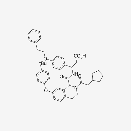 CC(C)(C)c1ccc(Oc2ccc3c(c2)C(C(=O)NC(CC(=O)O)c2ccc(OCCc4ccccc4)cc2)N(C(=O)CC2CCCC2)CC3)cc1